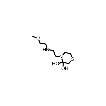 COCCNCCN1CCSCC1(O)O